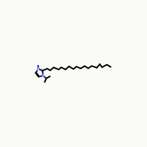 CCCCCCCCCCCCCCCCCCC1N(C)C=CN1C(C)C